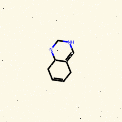 C1=CCC2[N]CNC=C2C1